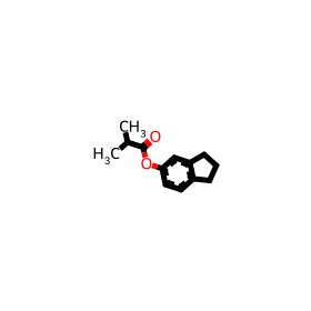 CC(C)C(=O)Oc1ccc2c(c1)CCC2